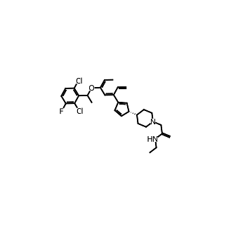 C=C/C(=C\C(=C/C)OC(C)c1c(Cl)ccc(F)c1Cl)C1=C[C@H](C2CCN(CC(=C)NCC)CC2)C=C1